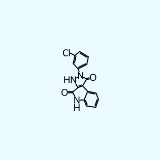 O=c1[nH]c2ccccc2c2c(=O)n(-c3cccc(Cl)c3)[nH]c12